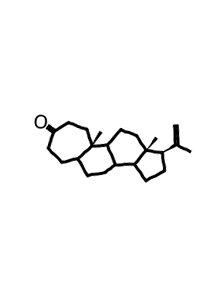 C=C(C)[C@H]1CCC2C3CCC4CCC(=O)CC[C@]4(C)C3CC[C@@]21C